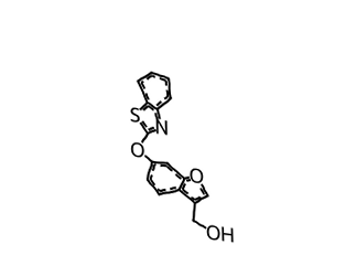 OCc1coc2cc(Oc3nc4ccccc4s3)ccc12